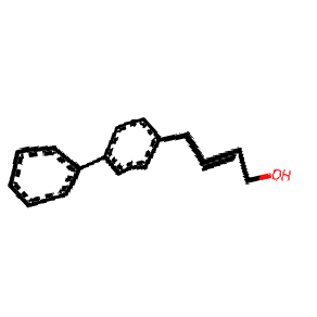 OCC=CCc1ccc(-c2ccccc2)cc1